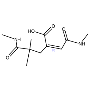 CNC(=O)/C=C(/CC(C)(C)C(=O)NC)C(=O)O